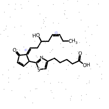 CC/C=C\CC(O)C/C=C1/C(=O)C=CC1c1nc(CCCCC(=O)O)cs1